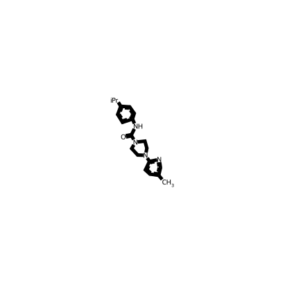 Cc1ccc(N2CCN(C(=O)Nc3ccc(C(C)C)cc3)CC2)nc1